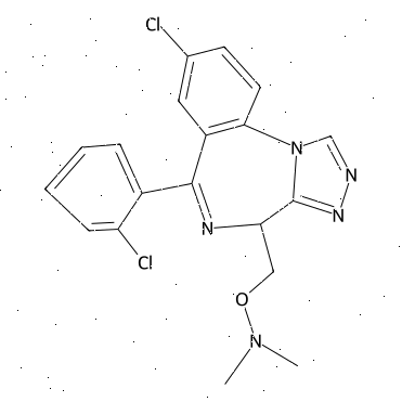 CN(C)OCC1N=C(c2ccccc2Cl)c2cc(Cl)ccc2-n2cnnc21